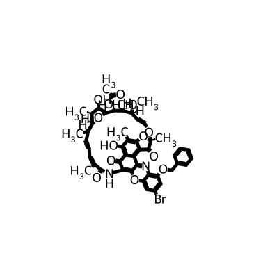 CO[C@H]1/C=C/O[C@@]2(C)Oc3c(C)c(O)c4c(=O)c(c5oc6cc(Br)cc(OCc7ccccc7)c6nc-5c4c3C2=O)NC(=O)/C(C)=C\C=C\[C@H](C)[C@@H]2O[C@H]([C@H](O)[C@@H]2C)[C@H](OC(C)=O)[C@@H]1C